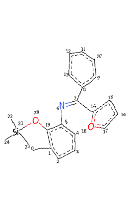 Cc1cccc(N=C(c2ccccc2)c2ccco2)c1O[Si](C)(C)C